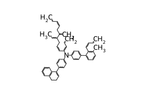 C=C/C=C\CC(=C)/C(=C\C)C/C=C\C(=C/C=C)N(c1ccc(C2=CCCC3=C2C=C=C=C3)cc1)c1ccc(-c2cccc(C)c2/C=C\C=C)cc1